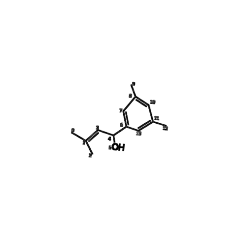 CC(C)=CC(O)c1cc(C)cc(C)c1